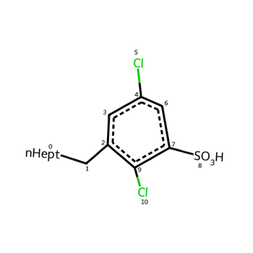 CCCCCCCCc1cc(Cl)cc(S(=O)(=O)O)c1Cl